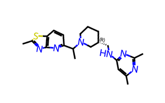 Cc1cc(NC[C@H]2CCCN(C(C)c3ccc4sc(C)nc4n3)C2)nc(C)n1